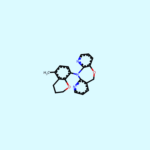 Cc1ccc(N2c3ncccc3COc3cccnc32)c2c1CCCO2